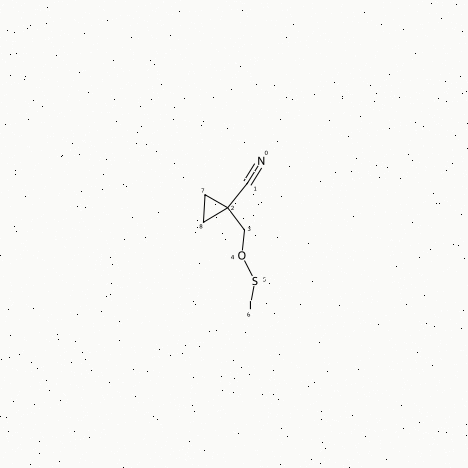 N#CC1(COSI)CC1